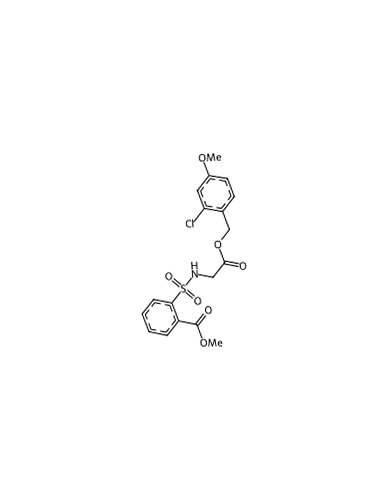 COC(=O)c1ccccc1S(=O)(=O)NCC(=O)OCc1ccc(OC)cc1Cl